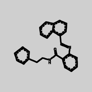 O=C(NCCc1ccccc1)c1ccccc1N=Cc1cccc2ccccc12